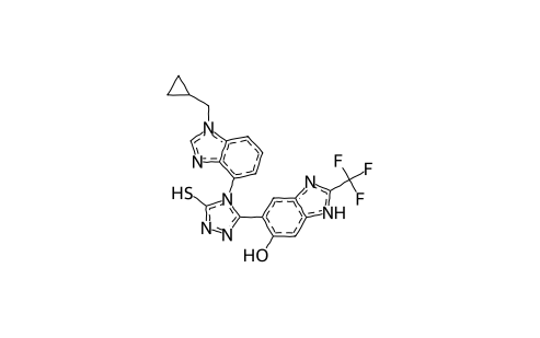 Oc1cc2[nH]c(C(F)(F)F)nc2cc1-c1nnc(S)n1-c1cccc2c1ncn2CC1CC1